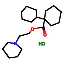 Cl.O=C(OCCN1CCCCC1)C1(C2CCCCC2)CCCCC1